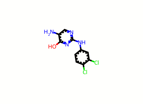 Nc1cnc(Nc2ccc(Cl)c(Cl)c2)nc1O